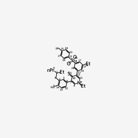 CCCC(CC)Cc1cc(-c2cn(CC)cc(-c3cc(CC)cc(S(=O)(=O)c4ccc(C)cc4)c3)c2=S)ccc1I